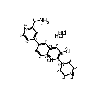 Cl.Cl.NCc1cc(-c2ccc3nc(N4CCNCC4)c(Cl)cc3c2)ccn1